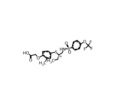 CC[C@H](CNS(=O)(=O)c1ccc(OC(F)(F)F)cc1)Sc1ccc(OCC(=O)O)c(C)c1